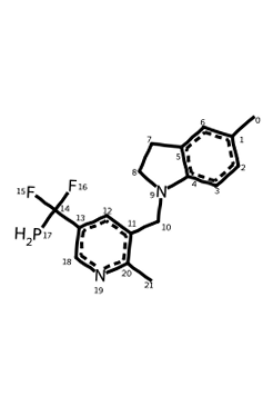 Cc1ccc2c(c1)CCN2Cc1cc(C(F)(F)P)cnc1C